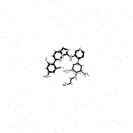 C[C@H]1C[C@@H](c2ccncc2Nc2ncc3ccc(-c4c(F)cc(O)cc4F)nn23)C[C@@H](N)[C@H]1OCCC#N